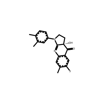 Cc1ccc(N2CC[C@@]3(O)C(=O)c4cc(F)c(C)cc4N=C23)cc1C